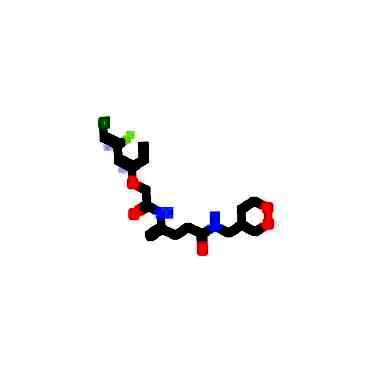 C=C/C(=C\C(F)=C\Cl)OCC(=O)NC(=C)CCC(=O)NCC1CCOOC1